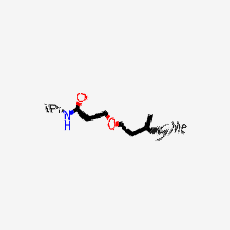 CSC(C)CCOCCC(=O)NC(C)C